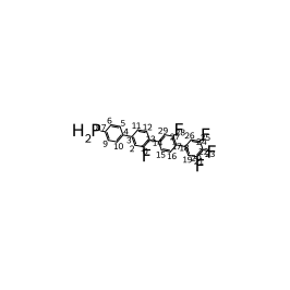 Fc1cc(-c2ccc(P)cc2)ccc1-c1ccc(-c2cc(F)c(F)c(F)c2)c(F)c1